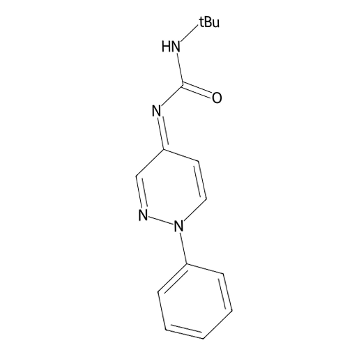 CC(C)(C)NC(=O)N=c1ccn(-c2ccccc2)nc1